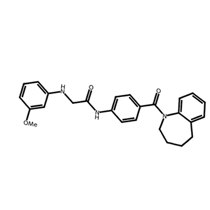 COc1cccc(NCC(=O)Nc2ccc(C(=O)N3CCCCc4ccccc43)cc2)c1